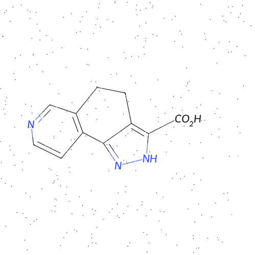 O=C(O)c1[nH]nc2c1CCc1cnccc1-2